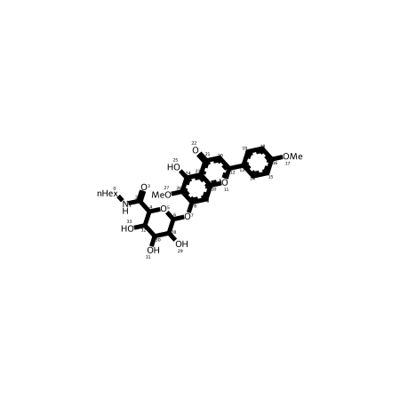 CCCCCCNC(=O)C1OC(Oc2cc3oc(-c4ccc(OC)cc4)cc(=O)c3c(O)c2OC)C(O)C(O)C1O